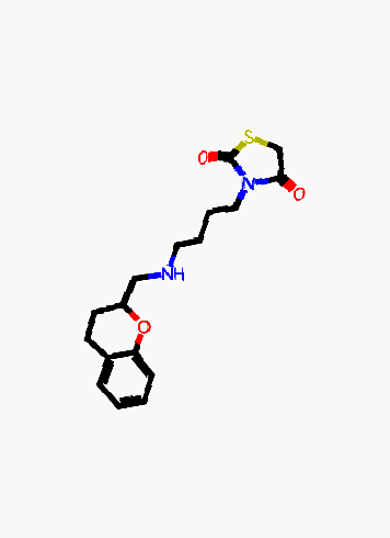 O=C1CSC(=O)N1CCCCNCC1CCc2ccccc2O1